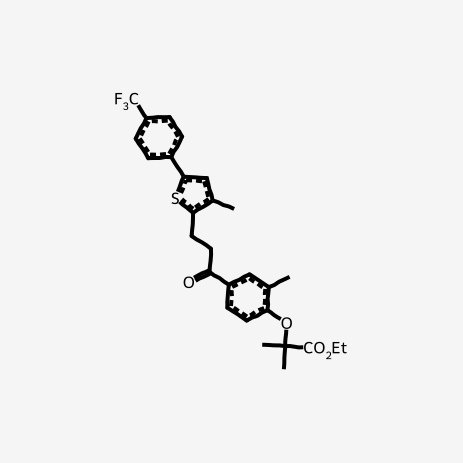 CCOC(=O)C(C)(C)Oc1ccc(C(=O)CCc2sc(-c3ccc(C(F)(F)F)cc3)cc2C)cc1C